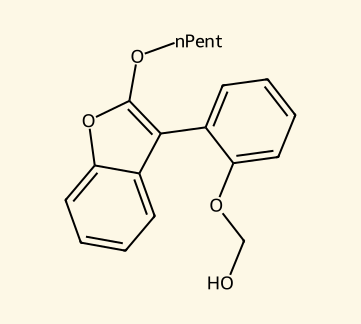 CCCCCOc1oc2ccccc2c1-c1ccccc1OCO